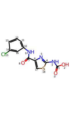 O=C(O)Nc1nc(C(=O)Nc2cccc(Cl)c2)cs1